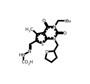 Cc1c(/C=N/NC(=O)O)sc2c1c(=O)n(CC(C)(C)C)c(=O)n2CC1CCCO1